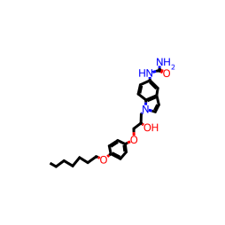 CCCCCCCOc1ccc(OCC(O)Cn2ccc3cc(NC(N)=O)ccc32)cc1